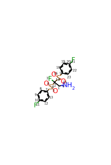 NCC(F)(S(=O)(=O)c1ccc(F)cc1)S(=O)(=O)c1ccc(F)cc1